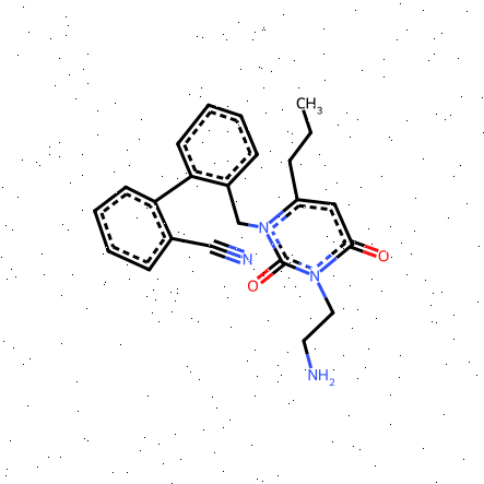 CCCc1cc(=O)n(CCN)c(=O)n1Cc1ccccc1-c1ccccc1C#N